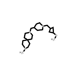 COC1CC(CN2CCC(CN3CCC4(CCN(C)CC4)CC3)CC2)C1